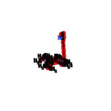 CC/C(C)=C\N1C[C@H](O)N(C(=O)OCc2ccc(NC(=O)[C@H](C)NC(=O)[C@@H](NC(=O)CCOCCOCCOCCOCCOCCOCCOCCOCCNC(=O)CCN3C(=O)C=CC3=O)C(C)C)cc2)c2cc(OCCCCCOc3cc4c(cc3OC)C(=O)N3C=C(C)C[C@H]3[C@H](O)N4C(=O)OCc3ccc(NC(=O)[C@H](C)NC(=O)[C@@H](NC(=O)CCOCCOC)C(C)C)cc3)c(OC)cc2C1=O